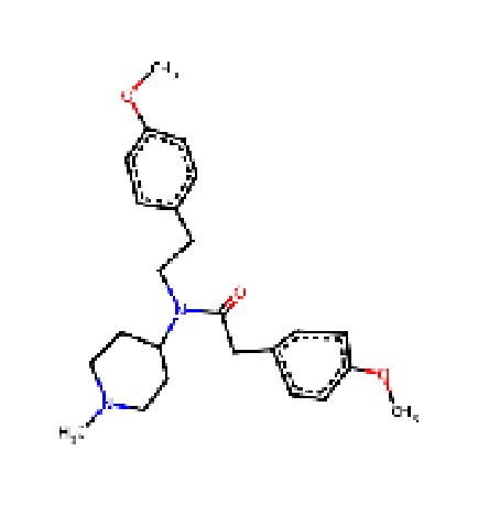 COc1ccc(CCN(C(=O)Cc2ccc(OC)cc2)C2CCN(C)CC2)cc1